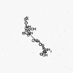 Cc1ncsc1-c1ccc(C(C)NC(=O)[C@@H]2C[C@@H](O)CN2C(=O)C(NC(=O)CCCCCC(=O)N2CCN(Cc3cccc(OC4CN(c5cc(-c6ccccc6O)nnc5N)C4)c3)CC2)C(C)(C)C)cc1